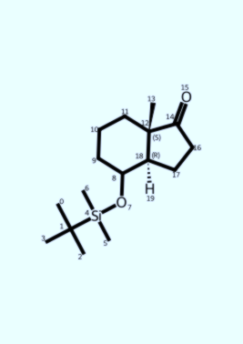 CC(C)(C)[Si](C)(C)OC1CCC[C@]2(C)C(=O)CC[C@@H]12